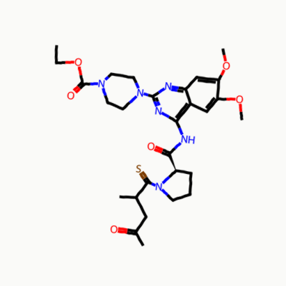 CCOC(=O)N1CCN(c2nc(NC(=O)[C@H]3CCCN3C(=S)C(C)CC(C)=O)c3cc(OC)c(OC)cc3n2)CC1